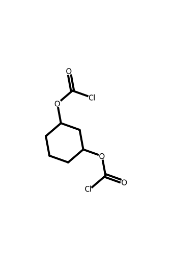 O=C(Cl)OC1CCCC(OC(=O)Cl)C1